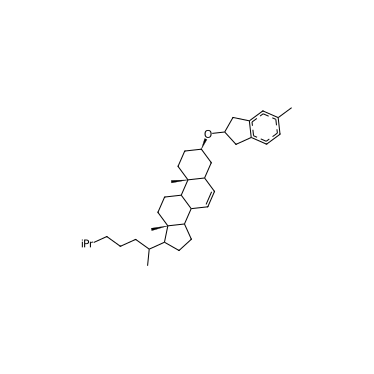 Cc1ccc2c(c1)CC(O[C@@H]1CC[C@]3(C)C(C=CC4C5CCC(C(C)CCCC(C)C)[C@]5(C)CCC43)C1)C2